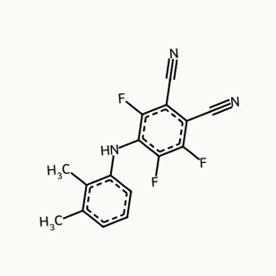 Cc1cccc(Nc2c(F)c(F)c(C#N)c(C#N)c2F)c1C